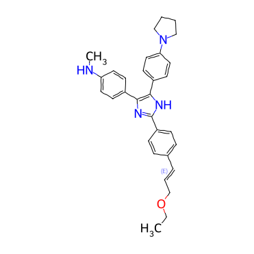 CCOC/C=C/c1ccc(-c2nc(-c3ccc(NC)cc3)c(-c3ccc(N4CCCC4)cc3)[nH]2)cc1